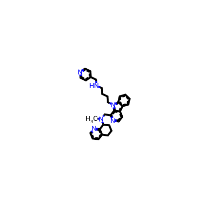 CN(Cc1nccc2c3ccccc3n(CCCCNCc3ccncc3)c12)C1CCCc2cccnc21